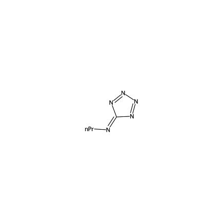 CCCN=C1N=NN=N1